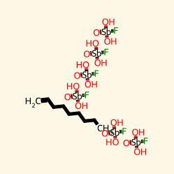 C=CCCCCCCC.[O]=[Sb]([OH])([OH])[F].[O]=[Sb]([OH])([OH])[F].[O]=[Sb]([OH])([OH])[F].[O]=[Sb]([OH])([OH])[F].[O]=[Sb]([OH])([OH])[F].[O]=[Sb]([OH])([OH])[F]